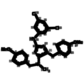 COc1ccc(CN(C)c2nc(Nc3cc(Cl)cc(Cl)c3)nn2Cc2ccc(OC)cc2)cc1